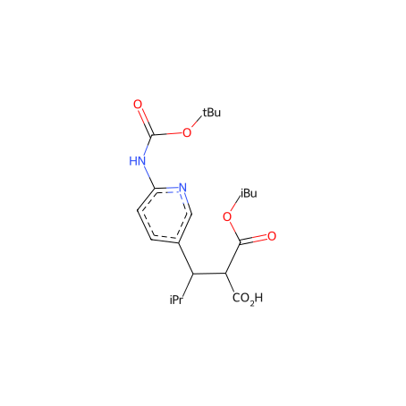 CCC(C)OC(=O)C(C(=O)O)C(c1ccc(NC(=O)OC(C)(C)C)nc1)C(C)C